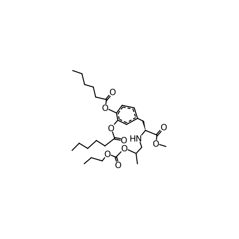 CCCCCC(=O)Oc1ccc(C[C@H](NCC(C)OC(=O)OCCC)C(=O)OC)cc1OC(=O)CCCCC